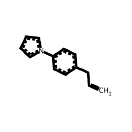 C=CCc1ccc(-n2cccc2)cc1